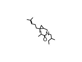 CCC(C)CN(CC1CC1(C)CCC=C(C)C)C(=O)C(C)C